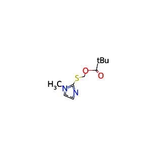 Cn1ccnc1SCOC(=O)C(C)(C)C